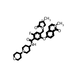 C[C@H]1CC(=O)N(Cc2cc(F)c(C(=O)NC3CCN(C4CCOCC4)CC3)cc2Oc2ccc3c(=O)n(C)ccc3c2)C1